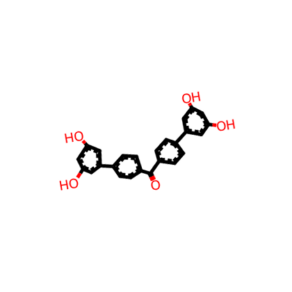 O=C(c1ccc(-c2cc(O)cc(O)c2)cc1)c1ccc(-c2cc(O)cc(O)c2)cc1